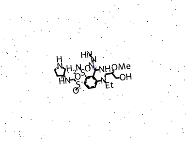 CCN(CC(CO)OC)c1ccc([S+]([O-])CN[C@@H]2CCNC2)c(S(N)(=O)=O)c1/C(N)=N/N=N